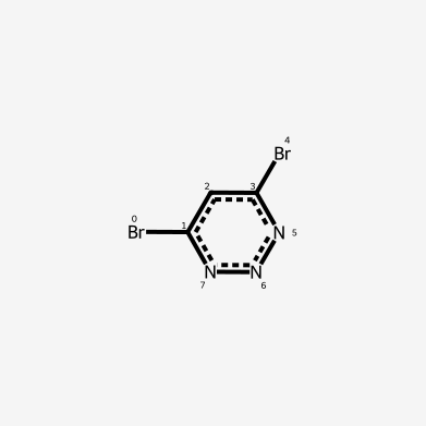 Brc1cc(Br)nnn1